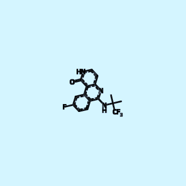 CC(C)(Nc1nc2cc[nH]c(=O)c2c2cc(F)ccc12)C(F)(F)F